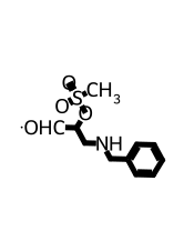 CS(=O)(=O)OC([C]=O)CNCc1ccccc1